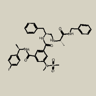 C[C@H](NC[C@H](Cc1ccccc1)NC(=O)c1cc(C(=O)N[C@H](C)c2ccc(F)cc2)cc(N(C)S(C)(=O)=O)c1)C(=O)NCc1ccccc1